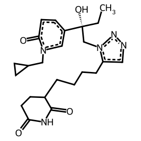 CC[C@@](O)(Cn1nncc1CCCCC1CCC(=O)NC1=O)c1ccc(=O)n(CC2CC2)c1